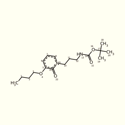 CCCCOc1cccn(CCCNC(=O)OC(C)(C)C)c1=O